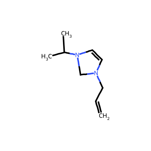 C=CCN1C=CN(C(C)C)C1